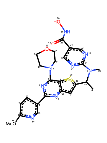 COc1ccc(-c2nc(N3CCOCC3)c3sc(C(C)N(C)c4ncc(C(=O)NO)cn4)cc3n2)cn1